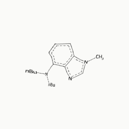 CCCCN(CCCC)c1cccc2c1ncn2C